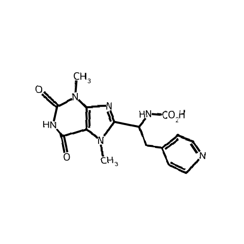 Cn1c(C(Cc2ccncc2)NC(=O)O)nc2c1c(=O)[nH]c(=O)n2C